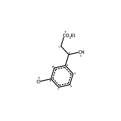 CCOC(=O)CC(C#N)c1cccc(Cl)c1